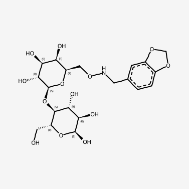 OC[C@H]1O[C@H](O)[C@H](O)[C@@H](O)[C@@H]1O[C@@H]1O[C@H](CONCc2ccc3c(c2)OCO3)[C@H](O)[C@H](O)[C@H]1O